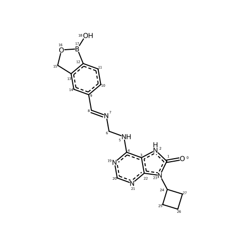 O=c1[nH]c2c(NC/N=C/c3ccc4c(c3)COB4O)ncnc2n1C1CCC1